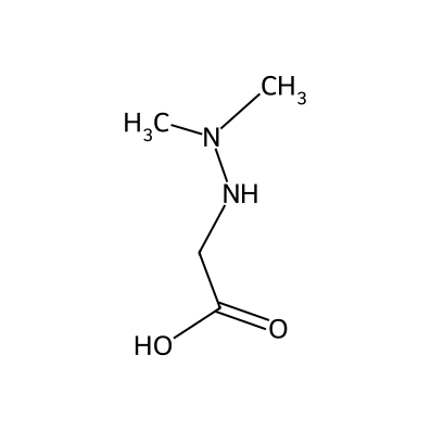 CN(C)NCC(=O)O